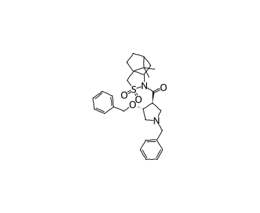 CC1(C)C2CCC13CS(=O)(=O)N(C(=O)[C@H]1CN(Cc4ccccc4)C[C@@H]1OCc1ccccc1)C3C2